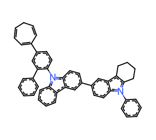 C1=CCC=CC(c2ccc(-n3c4ccccc4c4cc(-c5ccc6c(c5)c5c(n6-c6ccccc6)CCCC5)ccc43)c(-c3ccccc3)c2)=C1